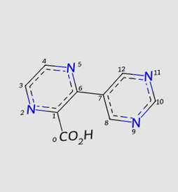 O=C(O)c1nccnc1-c1cncnc1